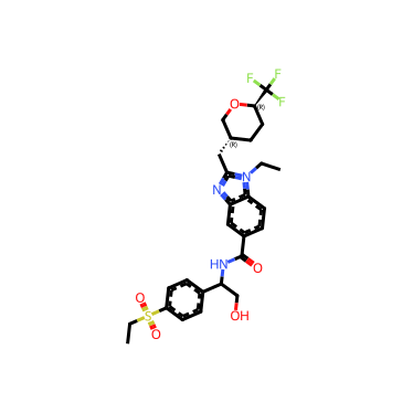 CCn1c(C[C@H]2CC[C@H](C(F)(F)F)OC2)nc2cc(C(=O)NC(CO)c3ccc(S(=O)(=O)CC)cc3)ccc21